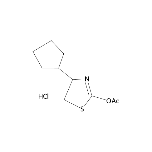 CC(=O)OC1=NC(C2CCCC2)CS1.Cl